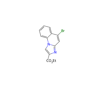 CCOC(=O)c1cn2c(cc(Br)c3ccccc32)n1